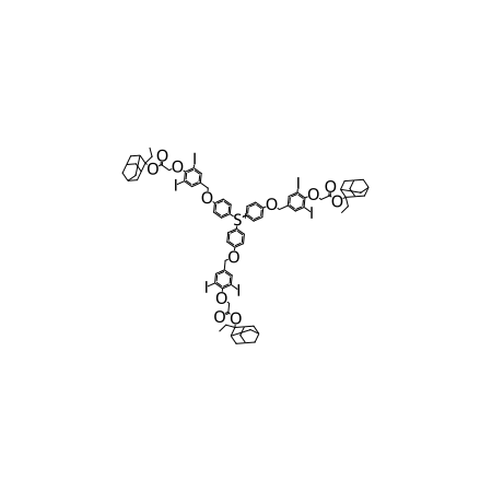 CCC1(OC(=O)COc2c(I)cc(COc3ccc([S+](c4ccc(OCc5cc(I)c(OCC(=O)OC6(CC)C7CC8CC(C7)CC6C8)c(I)c5)cc4)c4ccc(OCc5cc(I)c(OCC(=O)OC6(CC)C7CC8CC(C7)CC6C8)c(I)c5)cc4)cc3)cc2I)C2CC3CC(C2)CC1C3